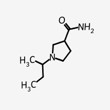 CCC(C)N1CCC(C(N)=O)C1